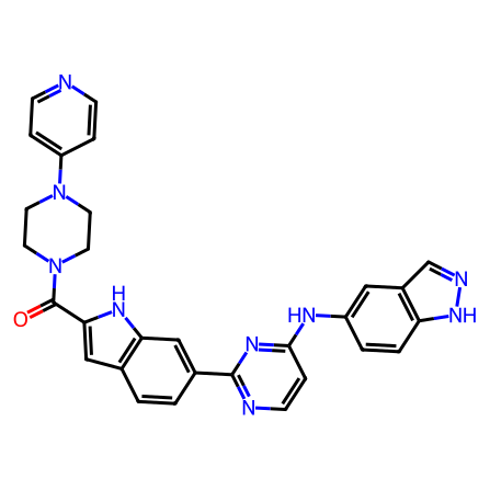 O=C(c1cc2ccc(-c3nccc(Nc4ccc5[nH]ncc5c4)n3)cc2[nH]1)N1CCN(c2ccncc2)CC1